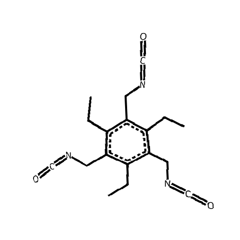 CCc1c(CN=C=O)c(CC)c(CN=C=O)c(CC)c1CN=C=O